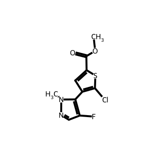 COC(=O)c1cc(-c2c(F)cnn2C)c(Cl)s1